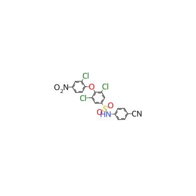 N#Cc1ccc(NS(=O)(=O)c2cc(Cl)c(Oc3ccc([N+](=O)[O-])cc3Cl)c(Cl)c2)cc1